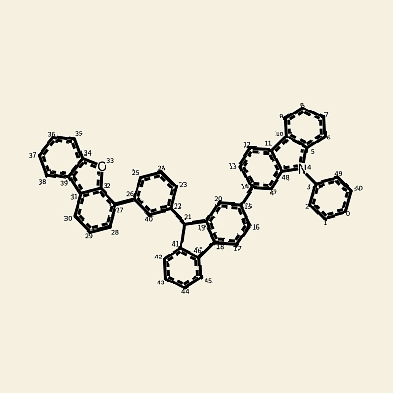 c1ccc(-n2c3ccccc3c3ccc(-c4ccc5c(c4)C(c4cccc(-c6cccc7c6oc6ccccc67)c4)c4ccccc4-5)cc32)cc1